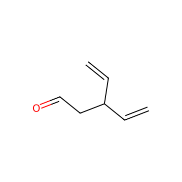 C=CC(C=C)CC=O